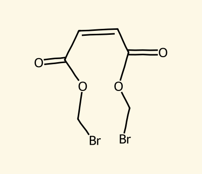 O=C(/C=C\C(=O)OCBr)OCBr